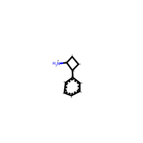 NC1CCC1c1ccccc1